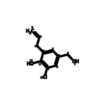 C=CCc1cc(CO)cc(Cl)c1O